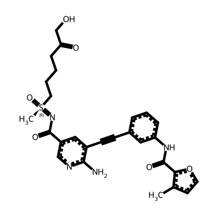 Cc1ccoc1C(=O)Nc1cccc(C#Cc2cc(C(=O)N=[S@](C)(=O)CCCCC(=O)CO)cnc2N)c1